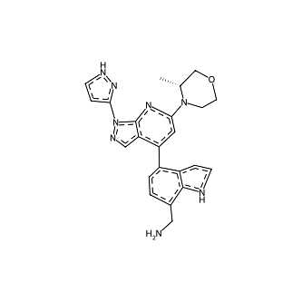 C[C@@H]1COCCN1c1cc(-c2ccc(CN)c3[nH]ccc23)c2cnn(-c3cc[nH]n3)c2n1